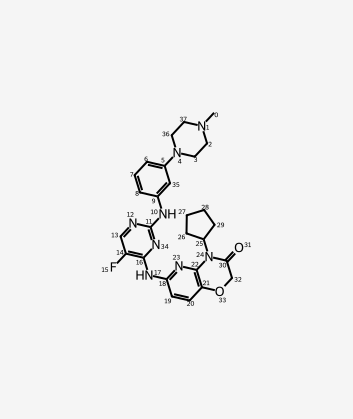 CN1CCN(c2cccc(Nc3ncc(F)c(Nc4ccc5c(n4)N(C4CCCC4)C(=O)CO5)n3)c2)CC1